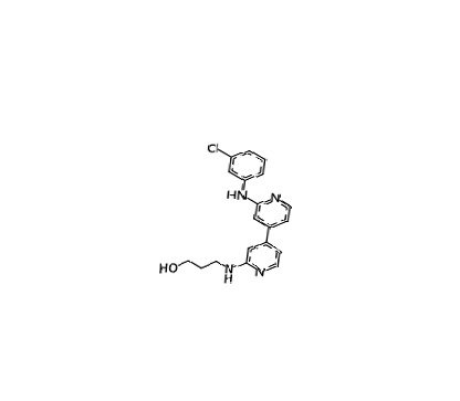 OCCCNc1cc(-c2ccnc(Nc3cccc(Cl)c3)c2)ccn1